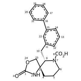 O=C1N[C@]2(CCCN(C(=O)O)[C@H]2Cc2cccc(-c3ccccc3)c2)CO1